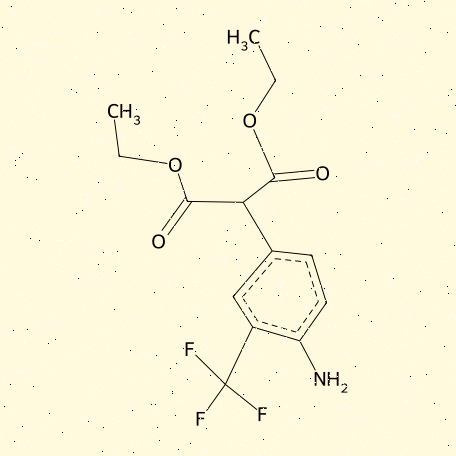 CCOC(=O)C(C(=O)OCC)c1ccc(N)c(C(F)(F)F)c1